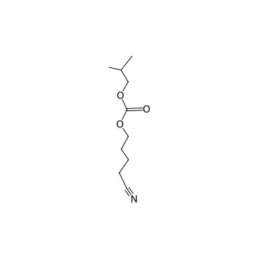 CC(C)COC(=O)OCCCCC#N